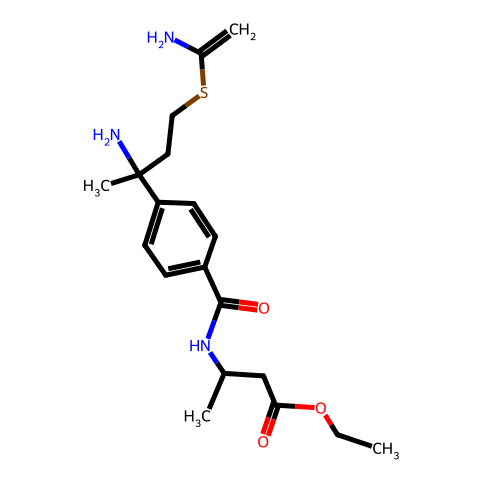 C=C(N)SCCC(C)(N)c1ccc(C(=O)NC(C)CC(=O)OCC)cc1